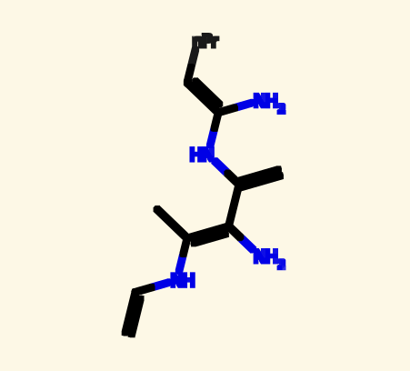 C=CN/C(C)=C(\N)C(=C)N/C(N)=C/CCC